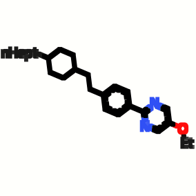 CCCCCCCC1CCC(CCc2ccc(-c3ncc(OCC)cn3)cc2)CC1